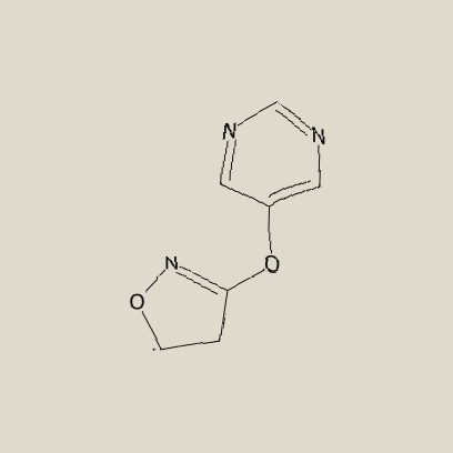 [CH]1CC(Oc2cncnc2)=NO1